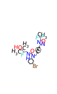 CC(F)(F)c1nc(C23CCC(CN(C(=O)NCC(F)C(C)(C)O)c4cccc(Br)c4)(CC2)CC3)no1